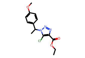 CCOC(=O)c1nnn(C(C)c2ccc(OC)cc2)c1Cl